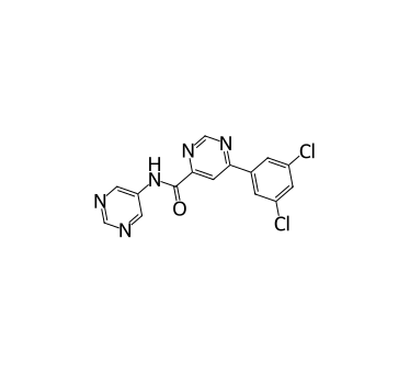 O=C(Nc1cncnc1)c1cc(-c2cc(Cl)cc(Cl)c2)ncn1